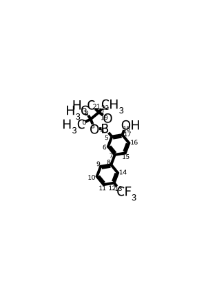 CC1(C)OB(c2cc(-c3cccc(C(F)(F)F)c3)ccc2O)OC1(C)C